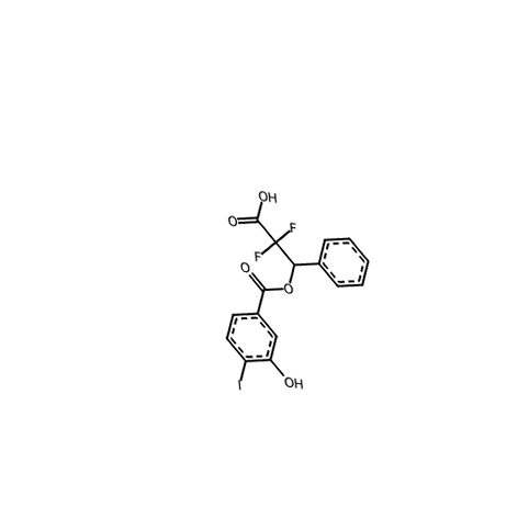 O=C(OC(c1ccccc1)C(F)(F)C(=O)O)c1ccc(I)c(O)c1